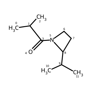 CC(C)C(=O)N1CCC1C(C)C